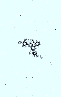 COCC(c1ccccc1)N(CCc1ccc(Cl)cc1)C1CCN(c2nc(N)n[nH]2)CC1